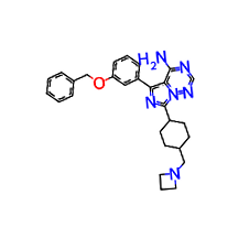 Nc1ncnn2c(C3CCC(CN4CCC4)CC3)nc(-c3cccc(OCc4ccccc4)c3)c12